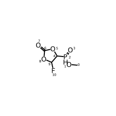 CO[PH](=O)C1OC(=O)OC1F